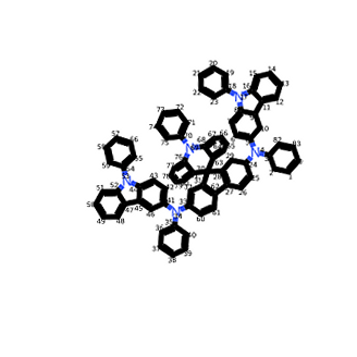 C1=CCC(N(C2=CC=C3C(C2)c2ccccc2N3c2ccccc2)C2C=CC3=C(C2)C2(c4cc(N(c5ccccc5)c5ccc6c(c5)c5ccccc5n6-c5ccccc5)ccc43)c3ccccc3N(c3ccccc3)c3ccccc32)C=C1